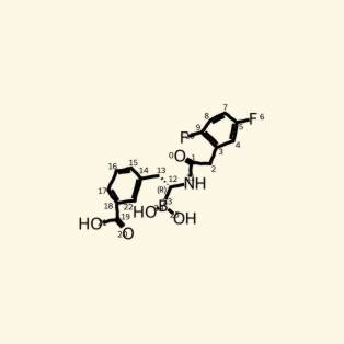 O=C(Cc1cc(F)ccc1F)N[C@@H](Cc1cccc(C(=O)O)c1)B(O)O